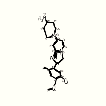 COc1cc(C)c(-c2cn3ccc(N4CCC(N)CC4)cc3n2)cc1Cl